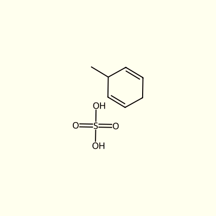 CC1C=CCC=C1.O=S(=O)(O)O